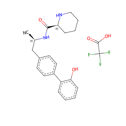 N#C[C@H](Cc1ccc(-c2ccccc2O)cc1)NC(=O)[C@@H]1CCCCN1.O=C(O)C(F)(F)F